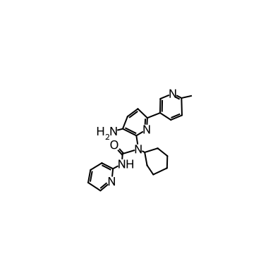 Cc1ccc(-c2ccc(N)c(N(C(=O)Nc3ccccn3)C3CCCCC3)n2)cn1